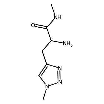 CNC(=O)C(N)Cc1cn(C)nn1